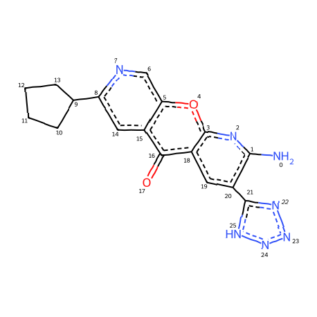 Nc1nc2oc3cnc(C4CCCC4)cc3c(=O)c2cc1-c1nnn[nH]1